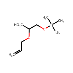 C=CCOC(CO[Si](C)(C)C(C)(C)C)C(=O)O